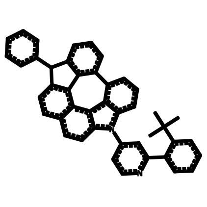 CC(C)(C)c1ccccc1-c1cc(-n2c3cccc4c3c3c5c6c(ccc5ccc32)C(c2ccccc2)c2cccc-4c2-6)ccn1